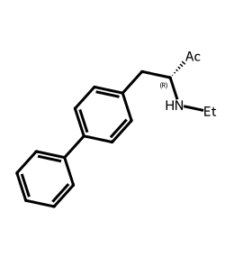 CCN[C@H](Cc1ccc(-c2ccccc2)cc1)C(C)=O